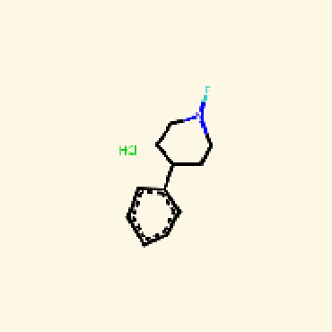 Cl.FN1CCC(c2ccccc2)CC1